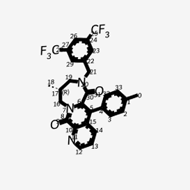 Cc1ccc(-c2c3n(c(=O)c4ncccc24)C[C@H](C)CN(Cc2cc(C(F)(F)F)cc(C(F)(F)F)c2)C3=O)cc1